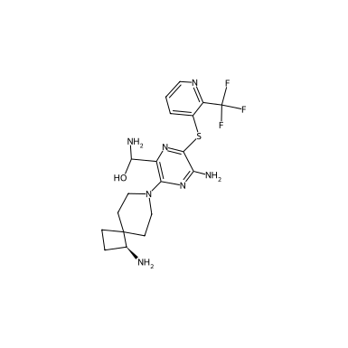 Nc1nc(N2CCC3(CC[C@@H]3N)CC2)c(C(N)O)nc1Sc1cccnc1C(F)(F)F